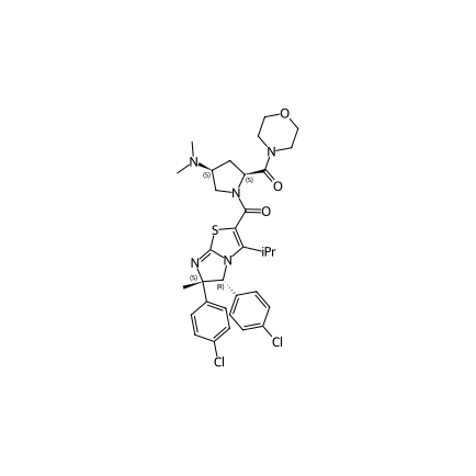 CC(C)C1=C(C(=O)N2C[C@@H](N(C)C)C[C@H]2C(=O)N2CCOCC2)SC2=N[C@@](C)(c3ccc(Cl)cc3)[C@@H](c3ccc(Cl)cc3)N21